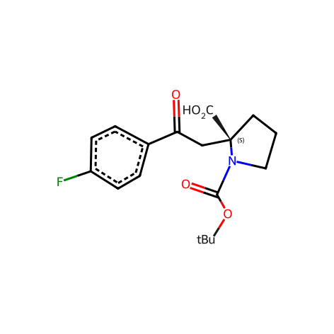 CC(C)(C)OC(=O)N1CCC[C@]1(CC(=O)c1ccc(F)cc1)C(=O)O